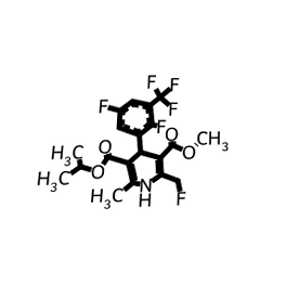 COC(=O)C1=C(CF)NC(C)=C(C(=O)OC(C)C)C1c1cc(F)cc(C(F)(F)F)c1F